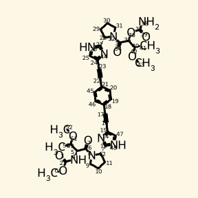 COC(=O)N[C@H](C(=O)N1CCC[C@H]1c1nc(C#Cc2ccc(C#Cc3c[nH]c([C@@H]4CCCN4C(=O)[C@@H](OC(N)=O)[C@@H](C)OC)n3)cc2)c[nH]1)C(C)OC